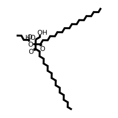 CCCCCCCCCCCCCCCCCC(=O)C(OC(=O)CCC)(C(=O)CCCCCCCCCCCCCCCCC)C(O)CO